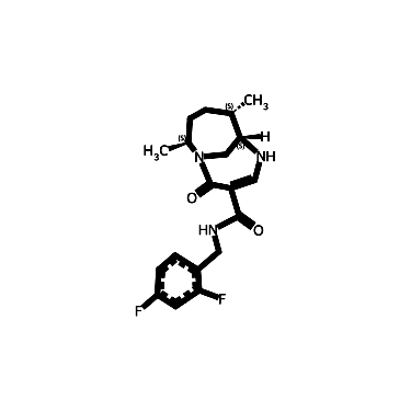 C[C@H]1CC[C@H](C)N2C[C@H]1NC=C(C(=O)NCc1ccc(F)cc1F)C2=O